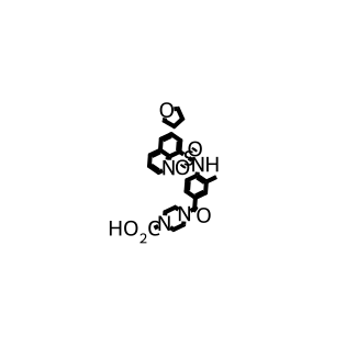 C1CCOC1.Cc1cc(C(=O)N2CCN(C(=O)O)CC2)ccc1NS(=O)(=O)c1cccc2cccnc12